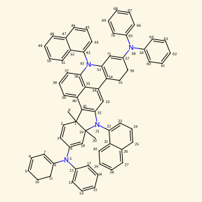 CC12C=CC(N(C3=CC=CCC3)c3ccccc3)=CC1(C)N(c1cccc3ccccc13)c1cc3c4c(cccc4c12)N(c1cccc2ccccc12)C1=C3CCC(N(c2ccccc2)c2ccccc2)=C1